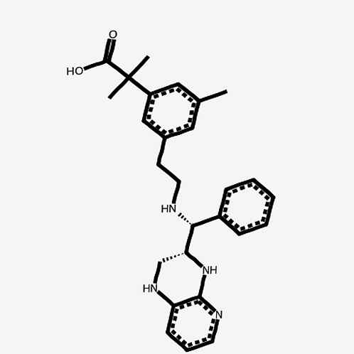 Cc1cc(CCN[C@H](c2ccccc2)[C@H]2CNc3cccnc3N2)cc(C(C)(C)C(=O)O)c1